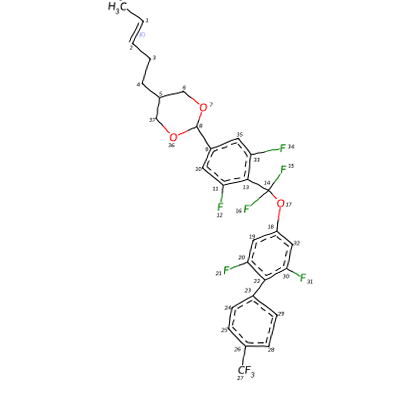 C/C=C/CCC1COC(c2cc(F)c(C(F)(F)Oc3cc(F)c(-c4ccc(C(F)(F)F)cc4)c(F)c3)c(F)c2)OC1